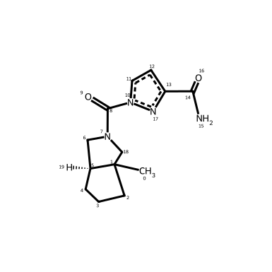 CC12CCC[C@H]1CN(C(=O)n1ccc(C(N)=O)n1)C2